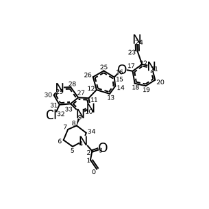 C=CC(=O)N1CCC[C@@H](n2nc(-c3ccc(Oc4cccnc4C#N)cc3)c3cncc(Cl)c32)C1